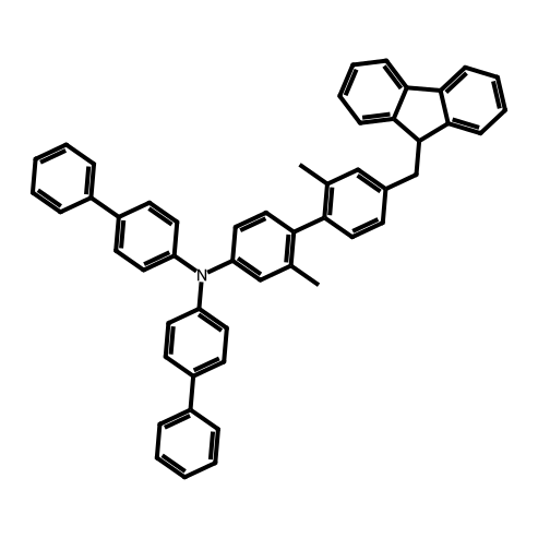 Cc1cc(CC2c3ccccc3-c3ccccc32)ccc1-c1ccc(N(c2ccc(-c3ccccc3)cc2)c2ccc(-c3ccccc3)cc2)cc1C